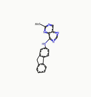 CSc1ncc2ncnc(Nc3ccc4c(c3)Cc3ccccc3-4)c2n1